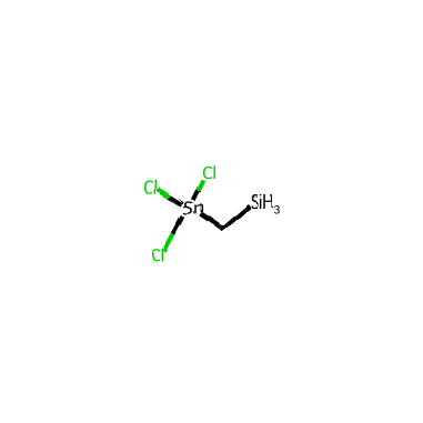 [SiH3][CH2][Sn]([Cl])([Cl])[Cl]